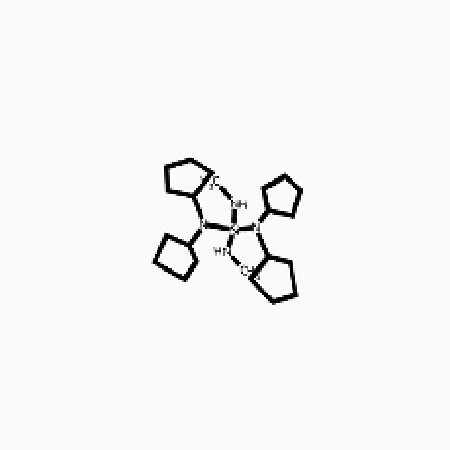 CN[Si](NC)(N(C1CCCC1)C1CCCC1)N(C1CCCC1)C1CCCC1